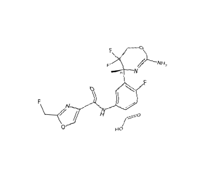 C[C@]1(c2cc(NC(=O)c3coc(CF)n3)ccc2F)N=C(N)OCC1(F)F.O=CO